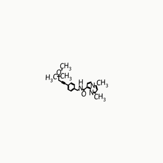 CCOC(C)(C)CC#Cc1ccc(CNC(=O)c2ccn3c(C)cc(C)nc23)cc1